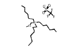 CCCCCC[P+](CCCCCC)(CCCCCC)COC.O=S(=O)([O-])C(F)(F)F